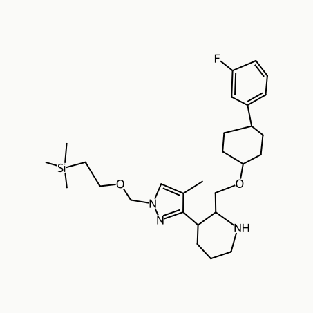 Cc1cn(COCC[Si](C)(C)C)nc1C1CCCNC1COC1CCC(c2cccc(F)c2)CC1